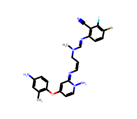 Cc1cc(N)ccc1Oc1ccn(N)/c(=N\C=C/CN(C)/C=N/c2ccc(Br)c(F)c2C#N)c1